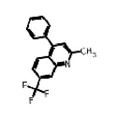 Cc1cc(-c2ccccc2)c2ccc(C(F)(F)F)cc2n1